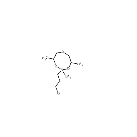 CC1COCC(C)O[Si](C)(CCCCl)O1